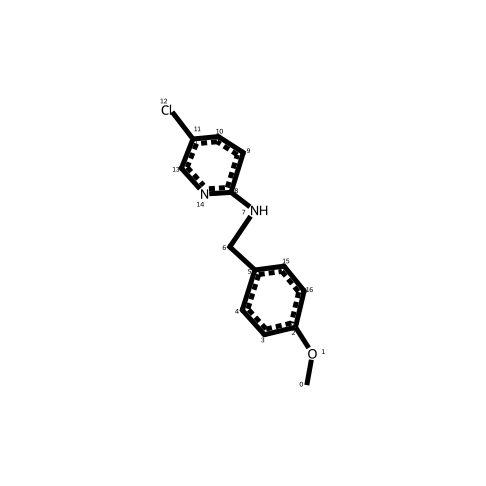 COc1ccc(CNc2c[c]c(Cl)cn2)cc1